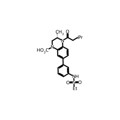 CCS(=O)(=O)Nc1cccc(-c2ccc3c(c2)N(C(=O)O)C[C@H](C)N3C(=O)CC(C)C)c1